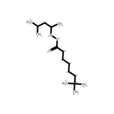 CC(C)CC(C)OOC(=O)CCCCCC(C)(C)C